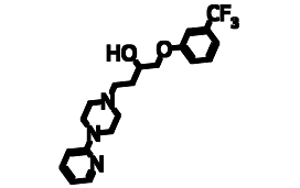 OC(CCN1CCN(c2ccccn2)CC1)COc1cccc(C(F)(F)F)c1